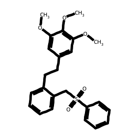 COc1cc(C[CH]c2ccccc2CS(=O)(=O)c2ccccc2)cc(OC)c1OC